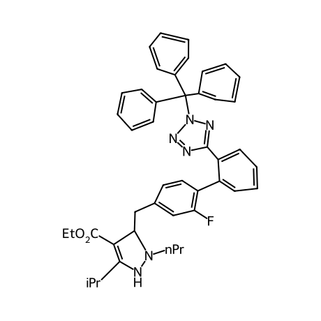 CCCN1NC(C(C)C)=C(C(=O)OCC)C1Cc1ccc(-c2ccccc2-c2nnn(C(c3ccccc3)(c3ccccc3)c3ccccc3)n2)c(F)c1